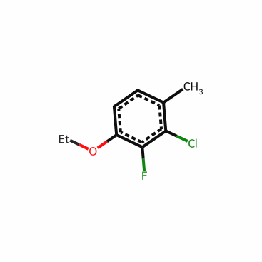 CCOc1ccc(C)c(Cl)c1F